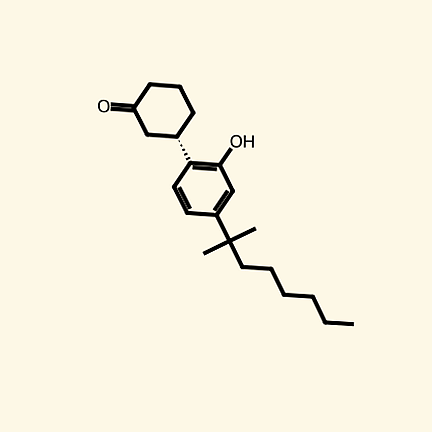 CCCCCCC(C)(C)c1ccc([C@H]2CCCC(=O)C2)c(O)c1